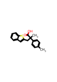 Cc1ccc(C(C)(Cc2cc3ccccc3s2)C(=O)O)cc1